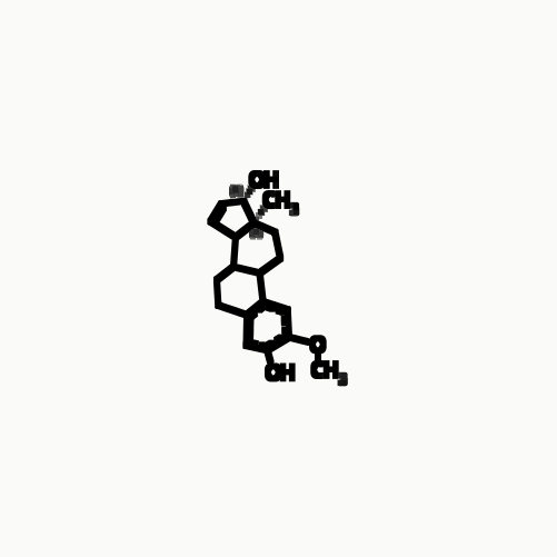 COc1cc2c(cc1O)CCC1C2CC[C@@]2(C)C1C=C[C@@H]2O